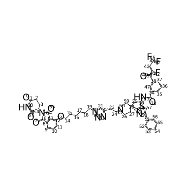 O=C1CCC(N2C(=O)c3cccc(OCCCCCCn4cc(CCN5CCC(CCNC(=O)c6cccc(C(=O)C(F)=CC(F)F)c6)(c6nc(-c7ccccc7)cs6)CC5)nn4)c3C2=O)C(=O)N1